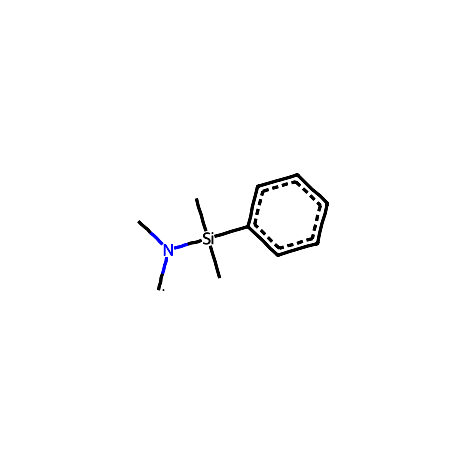 [CH2]N(C)[Si](C)(C)c1ccccc1